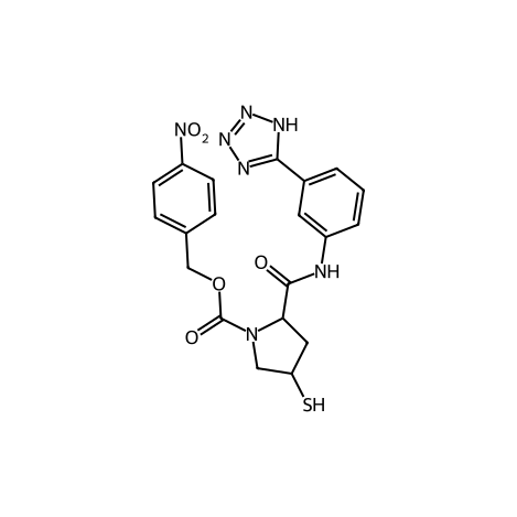 O=C(Nc1cccc(-c2nnn[nH]2)c1)C1CC(S)CN1C(=O)OCc1ccc([N+](=O)[O-])cc1